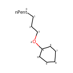 CCCCCCCCOC1CCCCC1